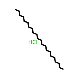 CCCCCCCCCCCCCCCCCCCCCC.Cl